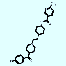 Cc1ccc(C(=O)N[C@H]2CC[C@H](CCN3CCC(C(=O)c4ccc(F)cc4)CC3)CC2)cn1